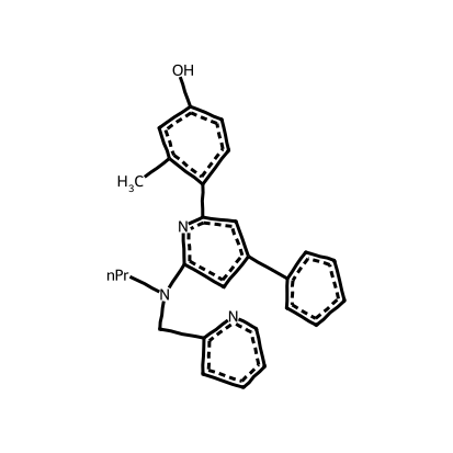 CCCN(Cc1ccccn1)c1cc(-c2ccccc2)cc(-c2ccc(O)cc2C)n1